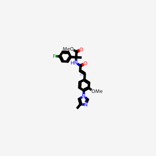 COC(=O)C(C)(NC(=O)/C=C/c1ccc(-n2cnc(C)c2)c(OC)c1)c1ccc(F)cc1